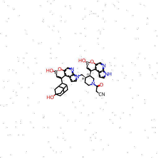 N#CCC(=O)N1CC[C@@H](Cn2ccc3c4c(cnc32)OB(O)C=C4C2C3CC4CC2CC(O)(C4)C3)[C@@H](C2=CB(O)Oc3cnc4[nH]ccc4c32)C1